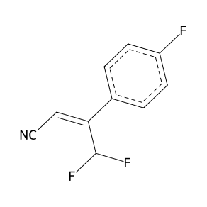 N#CC=C(c1ccc(F)cc1)C(F)F